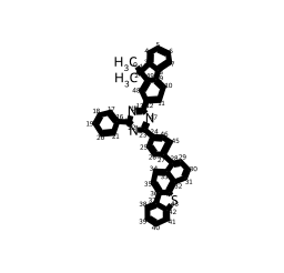 CC1(C)c2ccccc2-c2ccc(-c3nc(-c4ccccc4)nc(-c4ccc(-c5cccc6c5ccc5c7ccccc7sc65)cc4)n3)cc21